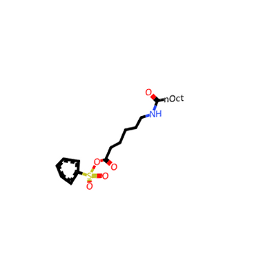 CCCCCCCCC(=O)NCCCCCC(=O)OS(=O)(=O)c1ccccc1